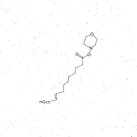 CCCCCCCCC=CCCCCCCCC(=O)ON1CCOCC1